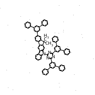 CC1(C)c2cc(-c3cc(-c4ccccc4)cc(-c4ccccc4)c3)ccc2-c2cc3c4ccccc4n(-c4nc(-c5cc(-c6ccccc6)cc(-c6ccccc6)c5)nc(-c5cc(-c6ccccc6)cc(-c6ccccc6)c5)n4)c3cc21